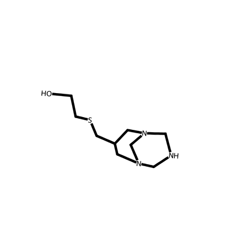 OCCSCC1CN2CNCN(C1)C2